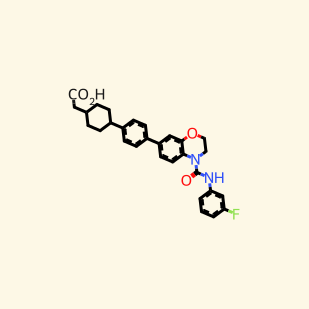 O=C(O)CC1CCC(c2ccc(-c3ccc4c(c3)OCCN4C(=O)Nc3cccc(F)c3)cc2)CC1